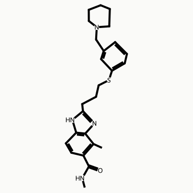 CNC(=O)c1ccc2[nH]c(CCCSc3cccc(CN4CCCCC4)c3)nc2c1C